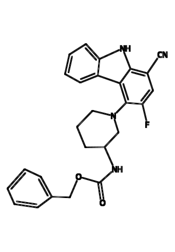 N#Cc1cc(F)c(N2CCCC(NC(=O)OCc3ccccc3)C2)c2c1[nH]c1ccccc12